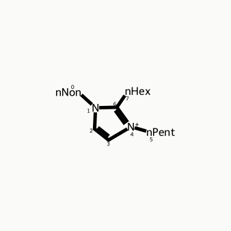 CCCCCCCCCn1cc[n+](CCCCC)c1CCCCCC